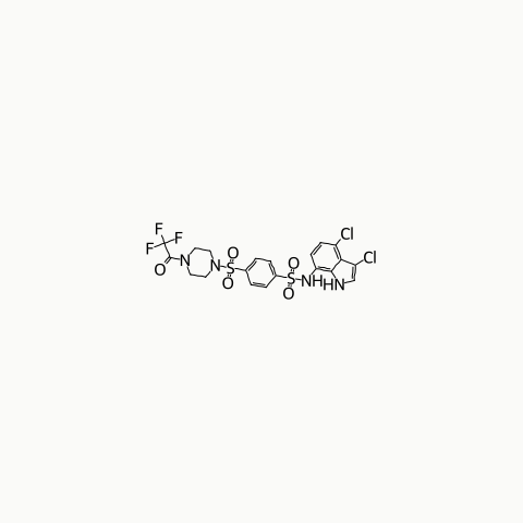 O=C(N1CCN(S(=O)(=O)c2ccc(S(=O)(=O)Nc3ccc(Cl)c4c(Cl)c[nH]c34)cc2)CC1)C(F)(F)F